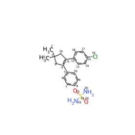 CC1(C)CC(c2ccccc2)=C(c2ccc(Cl)cc2)C1.NS(N)(=O)=O